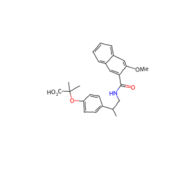 COc1cc2ccccc2cc1C(=O)NCC(C)c1ccc(OC(C)(C)C(=O)O)cc1